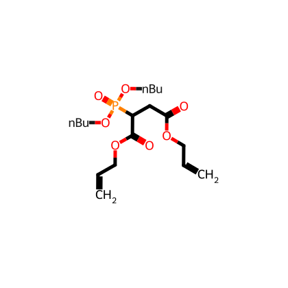 C=CCOC(=O)CC(C(=O)OCC=C)P(=O)(OCCCC)OCCCC